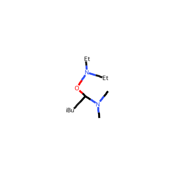 CCC(C)C(ON(CC)CC)N(C)C